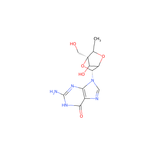 CC1OC2C(O)[C@@]1(CO)O[C@H]2n1cnc2c(=O)[nH]c(N)nc21